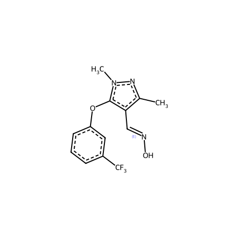 Cc1nn(C)c(Oc2cccc(C(F)(F)F)c2)c1/C=N/O